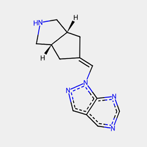 C(=C1\C[C@H]2CNC[C@H]2C1)/n1ncc2cncnc21